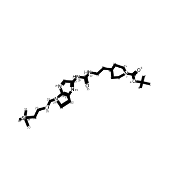 CC(C)(C)OC(=O)N1CCC(CCNC(=O)Nc2cnc3c(ccn3COCC[Si](C)(C)C)n2)CC1